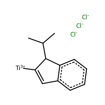 CC(C)C1[C]([Ti+3])=Cc2ccccc21.[Cl-].[Cl-].[Cl-]